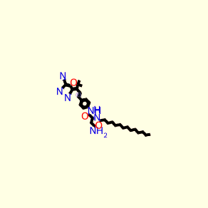 CCCCCCCCCCCCCCNC(CC(N)=O)C(=O)Nc1ccc(/C=C/C2=C(C#N)C(=C(C#N)C#N)OC2(C)C)cc1